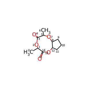 CC1OC(=O)C(C)OC2CCCC2OC1=O